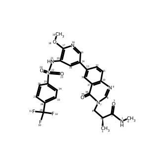 CNC(=O)[C@@H](C)Cn1cnc2ccc(-c3cnc(OC)c(NS(=O)(=O)c4ccc(C(F)(F)F)cc4)c3)cc2c1=O